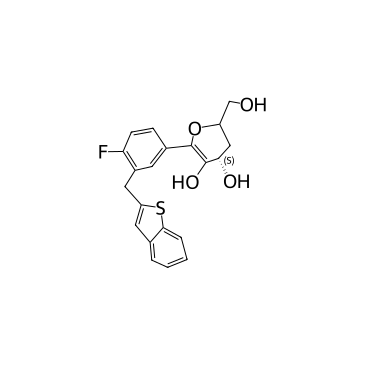 OCC1C[C@H](O)C(O)=C(c2ccc(F)c(Cc3cc4ccccc4s3)c2)O1